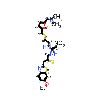 CCOc1ccc2nc(CC(S)CNC(=C[N+](=O)[O-])NCCSCc3ccc(CN(C)C)o3)sc2c1